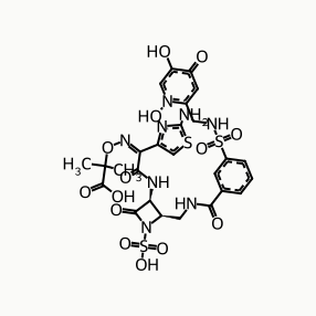 CC(C)(ON=C(C(=O)N[C@@H]1C(=O)N(S(=O)(=O)O)[C@@H]1CNC(=O)c1cccc(S(=O)(=O)NCc2cc(=O)c(O)cn2O)c1)c1csc(N)n1)C(=O)O